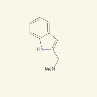 [CH2]NCc1cc2ccccc2[nH]1